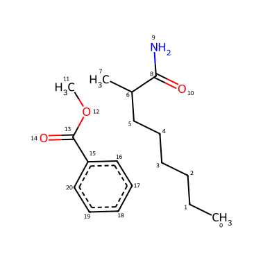 CCCCCCC(C)C(N)=O.COC(=O)c1ccccc1